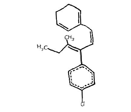 CC/C(C)=C(/C=C\C1=CCCC=C1)c1ccc(Cl)cc1